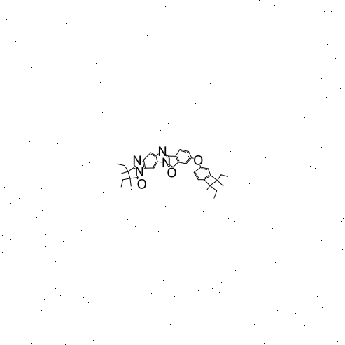 CCC1(C)C(=O)n2c(nc3cc4nc5n(c4cc32)C(=O)c2cc(Oc3ccc4c(c3)C(C)(CC)C4(C)CC)ccc2-5)C1(C)CC